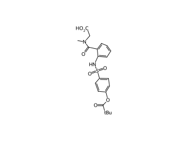 CN(CC(=O)O)C(=O)c1ccccc1NS(=O)(=O)c1ccc(OC(=O)C(C)(C)C)cc1